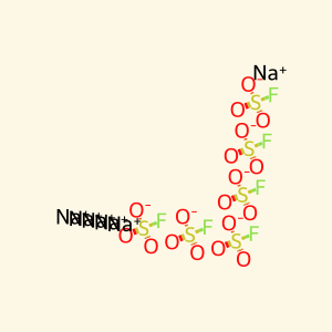 O=S(=O)([O-])F.O=S(=O)([O-])F.O=S(=O)([O-])F.O=S(=O)([O-])F.O=S(=O)([O-])F.O=S(=O)([O-])F.[Na+].[Na+].[Na+].[Na+].[Na+].[Na+]